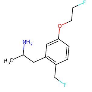 CC(N)Cc1cc(OCCF)ccc1CF